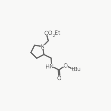 CCOC(=O)CN1CCCC1CNC(=O)OC(C)(C)C